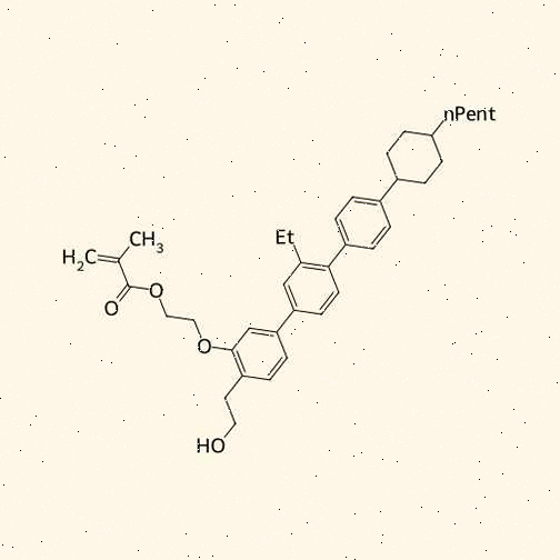 C=C(C)C(=O)OCCOc1cc(-c2ccc(-c3ccc(C4CCC(CCCCC)CC4)cc3)c(CC)c2)ccc1CCO